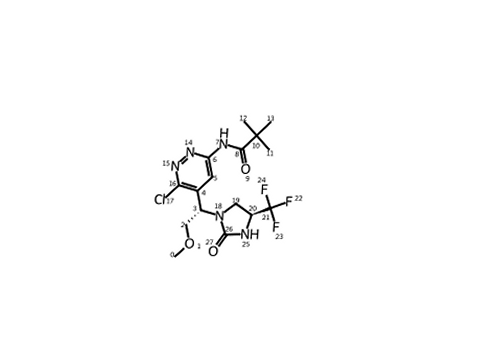 COC[C@H](c1cc(NC(=O)C(C)(C)C)nnc1Cl)N1C[C@@H](C(F)(F)F)NC1=O